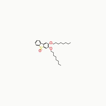 CCCCCCCCOc1cc2c3ccccc3[s+]([O-])c2cc1OCCCCCCCC